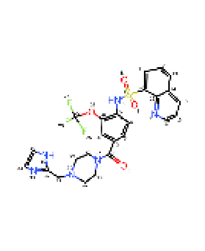 O=C(c1ccc(NS(=O)(=O)c2cccc3cccnc23)c(OC(F)(F)F)c1)N1CCN(Cc2ncc[nH]2)CC1